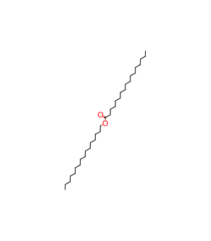 CCCCCCCCCCCCCCCCOC(=O)CCCCCCCCCCCCCCCC